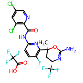 C[C@@]1(c2nc(NC(=O)c3ncc(Cl)cc3Cl)ccc2F)C[C@@H](C(F)(F)F)N=C(N)O1.O=C(O)C(F)(F)F